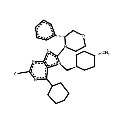 C[C@H]1CC[C@H](Cn2c(N3CCOC[C@H]3c3ccccc3)nc3nc(Cl)nc(C4CCCCC4)c32)CC1